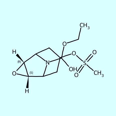 CCOC(O)N1C2CC(OS(C)(=O)=O)CC1[C@@H]1O[C@H]21